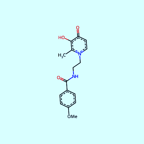 COc1ccc(C(=O)NCCn2ccc(=O)c(O)c2C)cc1